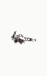 C[C@@H](S[C@H]1CO[C@H](/C=C/C=C/c2ccc(C#N)cc2F)OC1)[C@@](Cn1cncn1)(OC(=O)c1cc(C#N)ccc1COC(=O)CCC(=O)N1CCN(C)CC1)c1ccc(F)cc1F